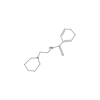 O=C(NCCN1CCCCC1)C1=CC[CH]C=C1